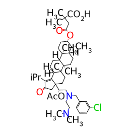 CC(=O)O[C@@H](CN(CCN(C)C)Cc1cccc(Cl)c1)[C@@]12CC[C@]3(C)[C@H](CC[C@@H]4[C@@]5(C)CC[C@H](OC(=O)CC(C)(C)C(=O)O)[C@H](C)[C@@H]5CC[C@]43C)C1=C(C(C)C)C(=O)C2